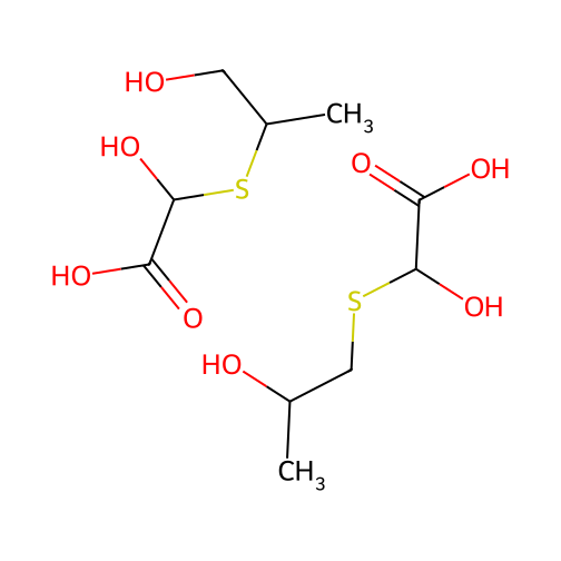 CC(CO)SC(O)C(=O)O.CC(O)CSC(O)C(=O)O